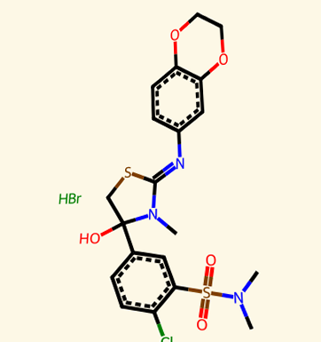 Br.CN1C(=Nc2ccc3c(c2)OCCO3)SCC1(O)c1ccc(Cl)c(S(=O)(=O)N(C)C)c1